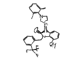 Cc1cccc(C)c1N1CC[C@@H](n2c(=O)n(Cc3ccccc3C(F)(F)F)c3c(O)cccc32)C1